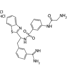 Cl.Cl.N=C(N)c1cccc(CC(NS(=O)(=O)c2cccc(NC(=O)CN)c2)c2nc3ccccc3s2)c1